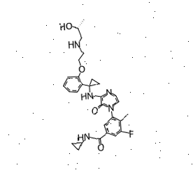 Cc1c(F)cc(C(=O)NC2CC2)cc1-n1ccnc(NC2(c3ccccc3OCCNC[C@@H](C)O)CC2)c1=O